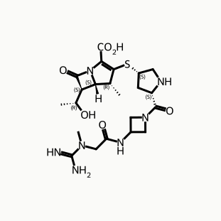 C[C@@H](O)[C@H]1C(=O)N2C(C(=O)O)=C(S[C@@H]3CN[C@H](C(=O)N4CC(NC(=O)CN(C)C(=N)N)C4)C3)[C@H](C)[C@H]12